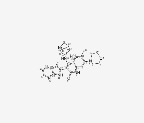 O=c1[nH]c2cc(N3CCOCC3)c(F)cc2c(N[C@H]2CN3CCC2CC3)c1-c1nc2cccnc2[nH]1